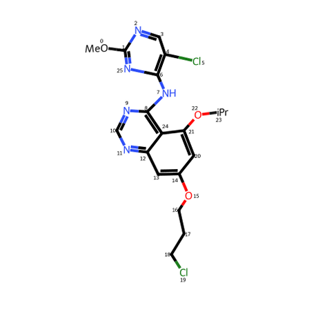 COc1ncc(Cl)c(Nc2ncnc3cc(OCCCCl)cc(OC(C)C)c23)n1